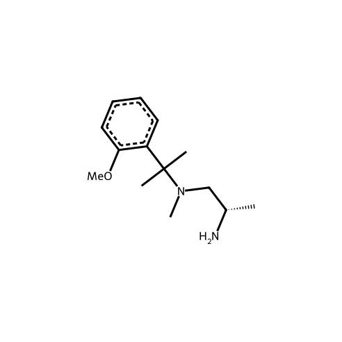 COc1ccccc1C(C)(C)N(C)C[C@H](C)N